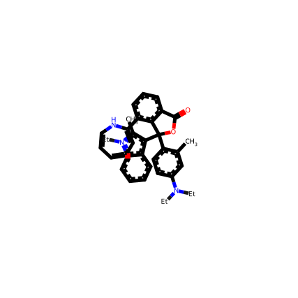 CCN(CC)c1ccc(C2(c3c(C)n(CC)c4ccccc34)OC(=O)c3cccc(C4=CC=CC=CN4)c32)c(C)c1